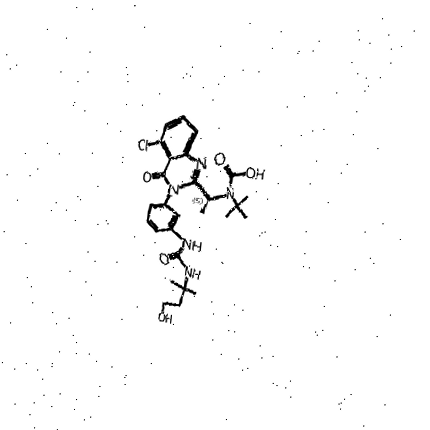 C[C@@H](c1nc2cccc(Cl)c2c(=O)n1-c1cccc(NC(=O)NC(C)(C)CCO)c1)N(C(=O)O)C(C)(C)C